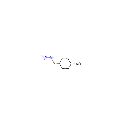 NNSC1CCC(N=O)CC1